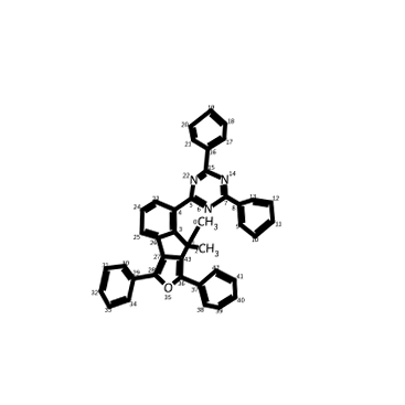 CC1(C)c2c(-c3nc(-c4ccccc4)nc(-c4ccccc4)n3)cccc2-c2c(-c3ccccc3)oc(-c3ccccc3)c21